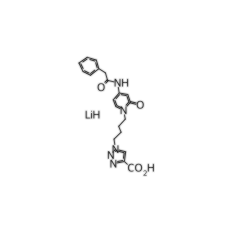 O=C(Cc1ccccc1)Nc1ccn(CCCCn2cc(C(=O)O)nn2)c(=O)c1.[LiH]